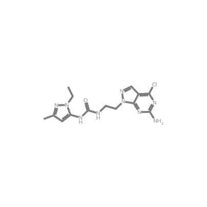 CCn1nc(C)cc1NC(=O)NCCn1ncc2c(Cl)nc(N)nc21